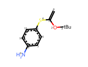 C=C(OC(C)(C)C)Sc1ccc(N)cc1